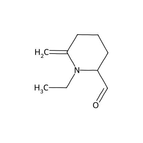 C=C1CCCC(C=O)N1CC